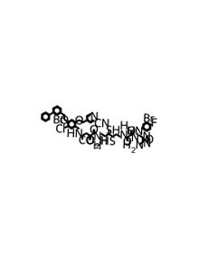 N#Cc1cc(COc2cc(OCc3cccc(-c4ccccc4)c3Br)c(Cl)cc2CNC(CC(=O)C(=O)NCCC(S)C(S)CCNC(=O)C(=O)N=C(Nc2ccc(F)c(Br)c2)c2nonc2N)C(=O)O)ccn1